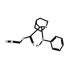 CC(C)N(c1ccccc1)C1C(C(=S)SC=C=O)CC2CCN1CC2